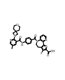 Cc1cnc(N2CC3(CCOCC3)C2)c(C(=O)Nc2ccc(C(=O)N3CCc4c(sc(C(=O)O)c4F)-c4ncccc43)cc2)c1